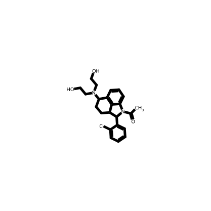 CC(=O)N1c2cccc3c2C(CCC3N(CCO)CCO)C1c1ccccc1Cl